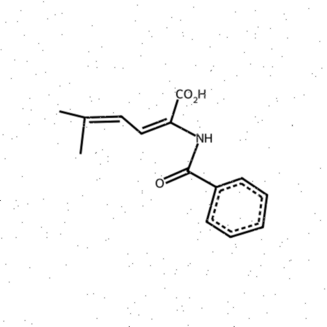 CC(C)=CC=C(NC(=O)c1ccccc1)C(=O)O